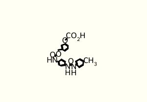 Cc1ccc(NC(=O)Nc2ccc(NC(=O)OCc3cccc(OCC(=O)O)c3)cc2)cc1